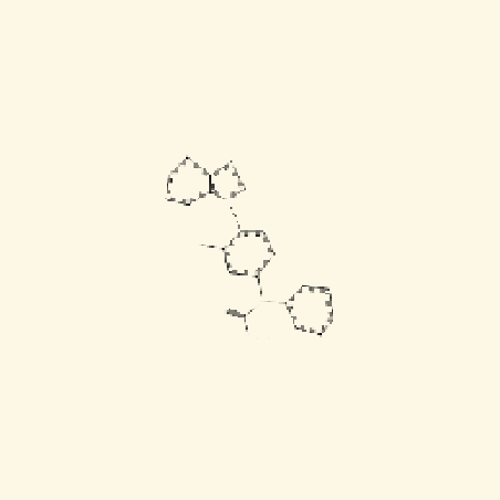 COC(=O)N(c1ccccc1)c1ccc(-n2ccc3ccccc32)c(F)c1